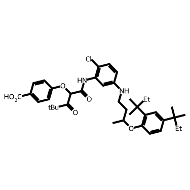 CCC(C)(C)c1ccc(OC(C)CCNc2ccc(Cl)c(NC(=O)C(Oc3ccc(C(=O)O)cc3)C(=O)C(C)(C)C)c2)c(C(C)(C)CC)c1